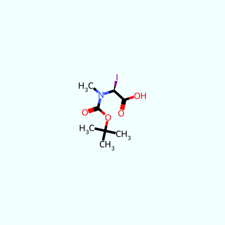 CN(C(=O)OC(C)(C)C)[C@@H](I)C(=O)O